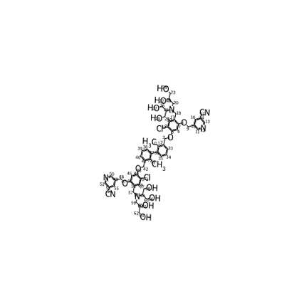 Cc1c(COc2cc(OCc3cncc(C#N)c3)c(CN(C[C@H](O)CO)C(CO)CO)cc2Cl)cccc1-c1cccc(COc2cc(OCc3cncc(C#N)c3)c(CN(C[C@H](O)CO)C(CO)CO)cc2Cl)c1C